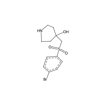 O=S(=O)(CC1(O)CCNCC1)c1ccc(Br)cc1